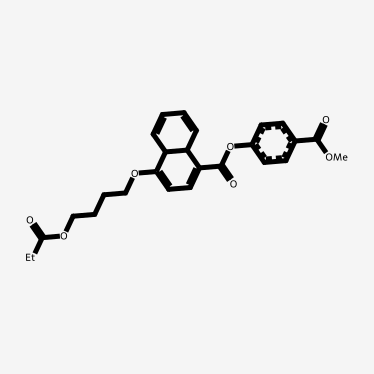 CCC(=O)OCCCCOC1=CC=C(C(=O)Oc2ccc(C(=O)OC)cc2)C2C=CC=CC12